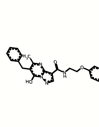 Cc1nc2c(C(=O)NCCOc3ccccc3)cnn2c(O)c1Cc1ccccc1